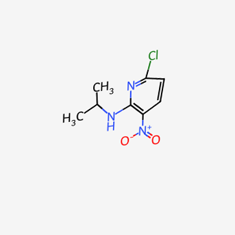 CC(C)Nc1nc(Cl)ccc1[N+](=O)[O-]